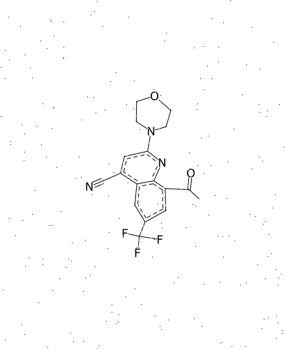 CC(=O)c1cc(C(F)(F)F)cc2c(C#N)cc(N3CCOCC3)nc12